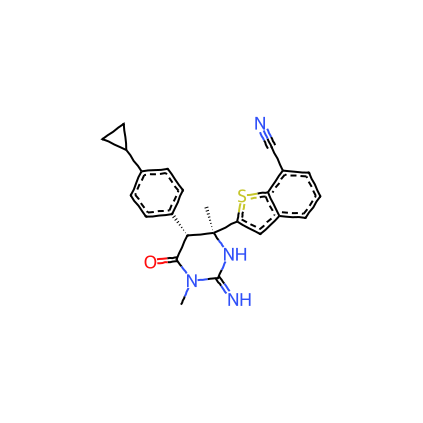 CN1C(=N)N[C@](C)(c2cc3cccc(C#N)c3s2)[C@@H](c2ccc(C3CC3)cc2)C1=O